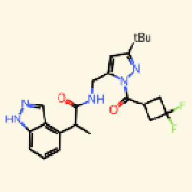 CC(C(=O)NCc1cc(C(C)(C)C)nn1C(=O)C1CC(F)(F)C1)c1cccc2[nH]ncc12